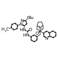 Cc1ccc(-n2nc(C(C)(C)C)cc2NC(=O)Nc2cccc(CC3CC4CCC(C3)N4C(=O)c3cnc4ccccc4c3)c2)cc1